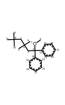 COC(CC(C)(C)CC(C)(C)C)(c1ccccc1)c1ccccc1